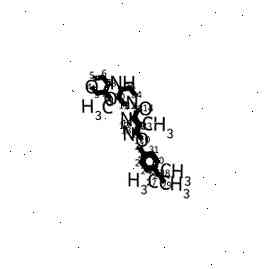 COC1COCCC1NC1CCN(C(=O)c2ncnc(OCc3ccc(C(C)(C)C)cc3)c2C)CC1